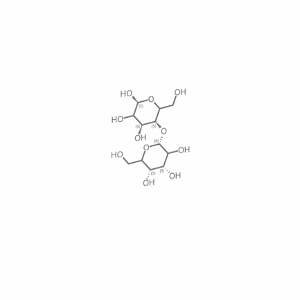 OCC1O[C@H](O[C@@H]2C(CO)O[C@H](O)C(O)[C@@H]2O)C(O)[C@H](O)[C@@H]1O